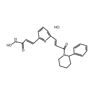 Cl.O=C(C=Cc1cccc(C=CC(=O)N2CCCCC2c2ccccc2)n1)NO